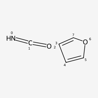 N=C=O.c1ccoc1